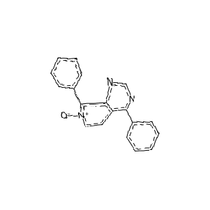 [O-][n+]1ccc2c(-c3ccccc3)ncnc2c1-c1ccccc1